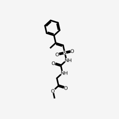 COC(=O)CNC(=O)NS(=O)(=O)C=C(C)c1ccccc1